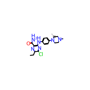 CCc1nc(C(N)=O)c(Nc2ccc(N3CCN(C)C[C@H]3C)cc2)nc1Cl